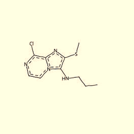 CCCNc1c(SC)nc2c(Cl)nccn12